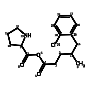 CC(CCC(=O)OC(=O)C1CCCN1)Cc1ccccc1Cl